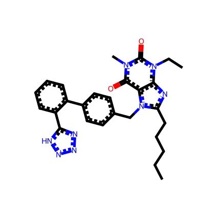 CCCCCc1nc2c(c(=O)n(C)c(=O)n2CC)n1Cc1ccc(-c2ccccc2-c2nnn[nH]2)cc1